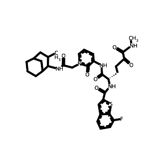 CNC(=O)C(=O)CC[C@H](NC(=O)c1cc2cccc(F)c2s1)C(=O)Nc1cccn(CC(=O)NC2C(C)CC3CCCC2C3)c1=O